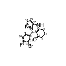 O=C1CCCC2=C1C(c1ccc(F)c(Br)c1)n1nccc1N2